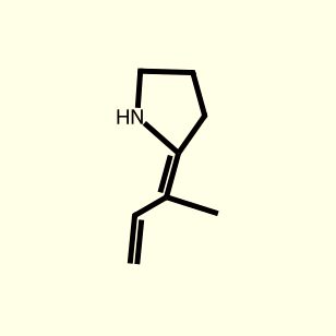 C=C/C(C)=C1/CCCN1